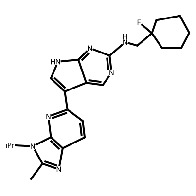 Cc1nc2ccc(-c3c[nH]c4nc(NCC5(F)CCCCC5)ncc34)nc2n1C(C)C